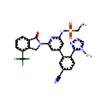 CCS(=O)(=O)Nc1cc(-c2cc(C#N)ccc2-c2nncn2C)cc(N2Cc3c(cccc3C(F)(F)F)C2=O)n1